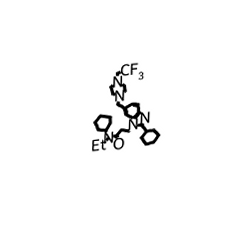 CCN(C(=O)CCn1c(C2CCCCC2)nc2ccc(CN3CCN(CC(F)(F)F)CC3)cc21)C1CCCCC1